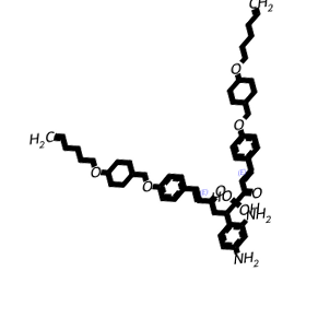 C=CCCCCOC1CCC(COc2ccc(/C=C/C(=O)CC(c3ccc(N)cc3N)C(O)(O)C(=O)/C=C/c3ccc(OCC4CCC(OCCCCC=C)CC4)cc3)cc2)CC1